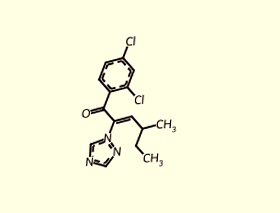 CCC(C)C=C(C(=O)c1ccc(Cl)cc1Cl)n1cncn1